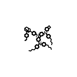 C=Cc1ccc(C23CC4CC(C2)CC(c2ccc(-n5c6ccc(N(c7ccc(CCCC)cc7)c7ccc(CCCC)cc7)cc6c6cc(N(c7ccc(CCCC)cc7)c7ccc8c(c7)CC8)ccc65)cc2)(C4)C3)cc1